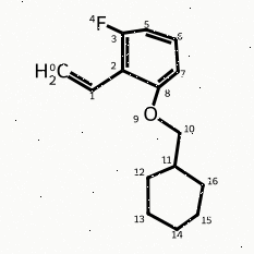 C=Cc1c(F)cccc1OCC1CCCCC1